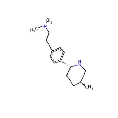 C[C@H]1CC[C@H](c2ccc(CCN(C)C)cc2)NC1